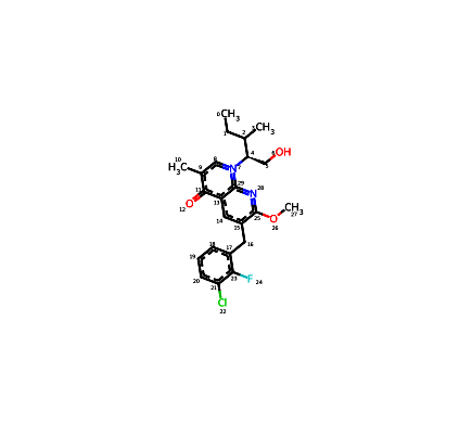 CCC(C)[C@@H](CO)n1cc(C)c(=O)c2cc(Cc3cccc(Cl)c3F)c(OC)nc21